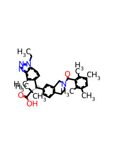 CCn1nnc2c(C)c([C@H](c3ccc4c(c3)CN(C(=O)c3c(C)c(C)cc(C)c3C)CC4)C(C)(C)C(=O)O)ccc21